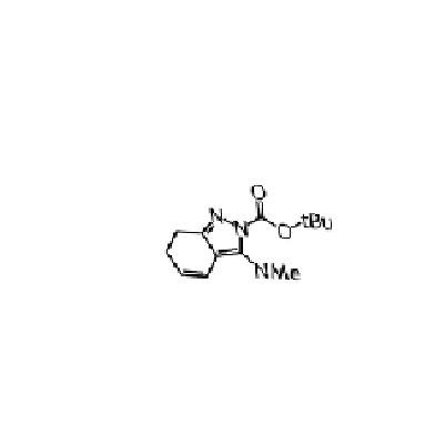 CNc1c2c(nn1C(=O)OC(C)(C)C)CCC=C2